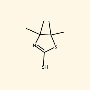 CC1(C)N=C(S)SC1(C)C